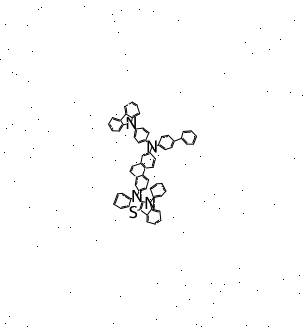 c1ccc(-c2ccc(N(c3ccc(-n4c5ccccc5c5ccccc54)cc3)c3ccc4c(ccc5cc(N6c7ccccc7Sc7c6n(-c6ccccc6)c6ccccc76)ccc54)c3)cc2)cc1